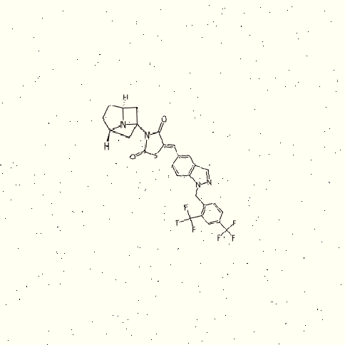 O=C1S/C(=C\c2ccc3c(cnn3Cc3ccc(C(F)(F)F)cc3C(F)(F)F)c2)C(=O)N1C12C[C@@H]3CC[C@@H](C1)N32